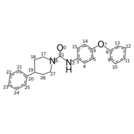 O=C(Nc1ccc(Oc2ccccc2)cc1)N1CCC(c2ccccc2)CC1